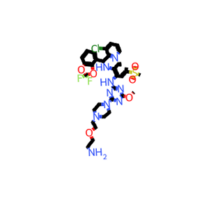 C=C/C(N[C@@H](c1cccc2c1OC(F)(F)O2)c1ncccc1Cl)=C(\C=C(/C)S(C)(=O)=O)Nc1nc(OC)nc(N2CCN(CCOCCN)CC2)n1